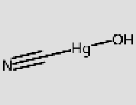 N#[C][Hg][OH]